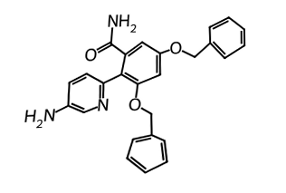 NC(=O)c1cc(OCc2ccccc2)cc(OCc2ccccc2)c1-c1ccc(N)cn1